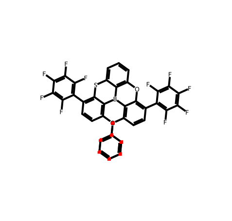 Fc1c(F)c(F)c(-c2ccc(Oc3ccccc3)c3c2Oc2cccc4c2B3c2c(Oc3ccccc3)ccc(-c3c(F)c(F)c(F)c(F)c3F)c2S4)c(F)c1F